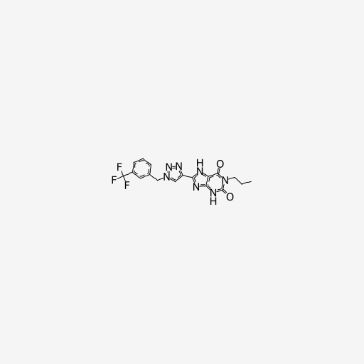 CCCn1c(=O)[nH]c2nc(-c3cn(Cc4cccc(C(F)(F)F)c4)nn3)[nH]c2c1=O